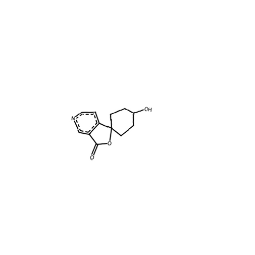 O=C1OC2(CCC(O)CC2)c2ccncc21